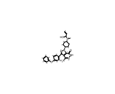 C=CC(O)N(C)[C@H]1CC[C@@H](n2nc(-c3ccc(Oc4ccccc4)cc3)c3c(N)n[nH]c(=O)c32)CC1